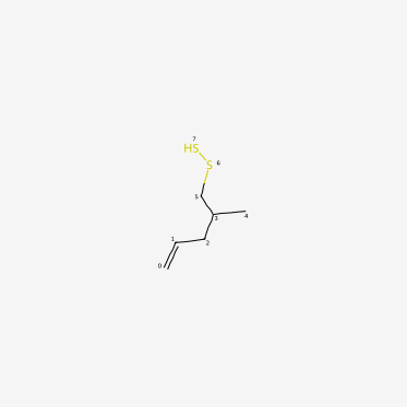 C=CCC(C)CSS